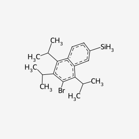 CC(C)c1c(Br)c(C(C)C)c2cc([SiH3])ccc2c1C(C)C